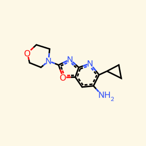 Nc1cc2oc(N3CCOCC3)nc2nc1C1CC1